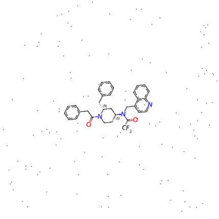 O=C(Cc1ccccc1)N1CC[C@H](N(Cc2ccnc3ccccc23)C(=O)C(F)(F)F)C[C@H]1Cc1ccccc1